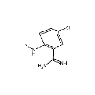 CNc1ccc(Cl)cc1C(=N)N